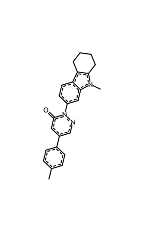 Cc1ccc(-c2cnn(-c3ccc4c5c(n(C)c4c3)CCCC5)c(=O)c2)cc1